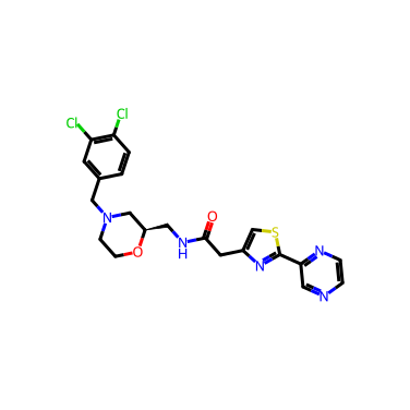 O=C(Cc1csc(-c2cnccn2)n1)NC[C@@H]1CN(Cc2ccc(Cl)c(Cl)c2)CCO1